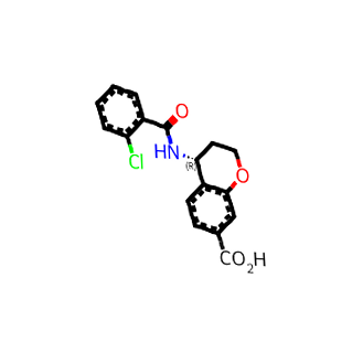 O=C(O)c1ccc2c(c1)OCC[C@H]2NC(=O)c1ccccc1Cl